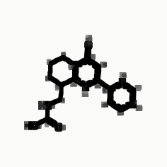 O=C(O)NCC1CCCn2c1nc(-c1ccncn1)cc2=O